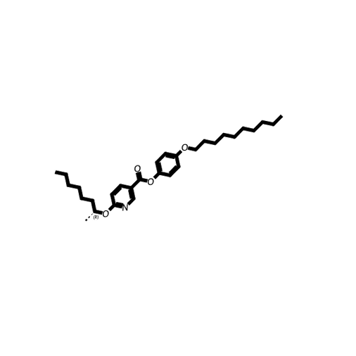 CCCCCCCCCCOc1ccc(OC(=O)c2ccc(O[C@H](C)CCCCCC)nc2)cc1